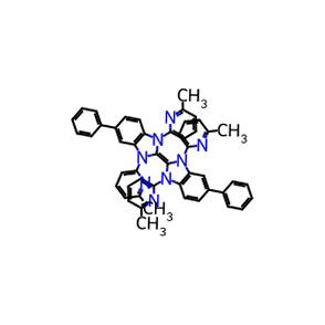 Cc1cccc(N2/C(=C3/N(c4cccc(C)n4)c4ccc(-c5ccccc5)cc4N3c3cccc(C)n3)N(c3cccc(C)n3)c3cc(-c4ccccc4)ccc32)n1